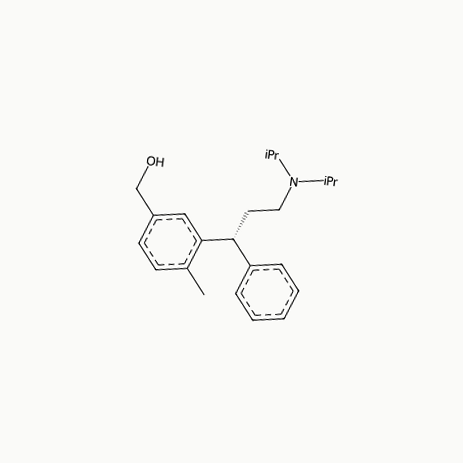 Cc1ccc(CO)cc1[C@H](CCN(C(C)C)C(C)C)c1ccccc1